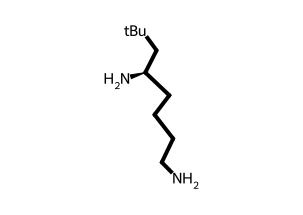 CC(C)(C)C[C@H](N)CCCCN